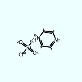 O=S(=O)(Cl)Cl.c1cnccn1